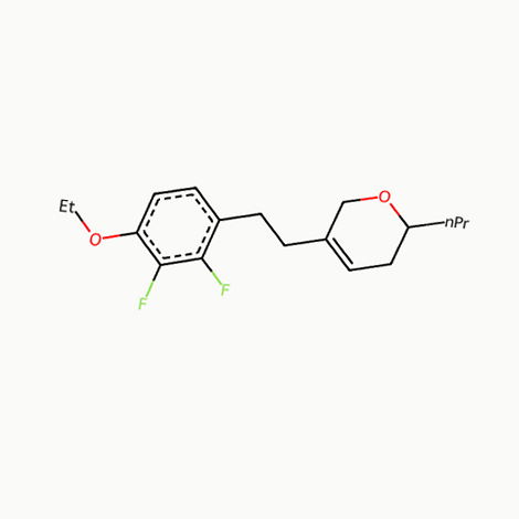 CCCC1CC=C(CCc2ccc(OCC)c(F)c2F)CO1